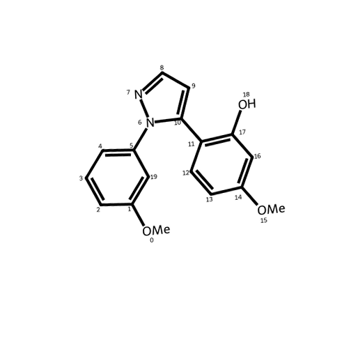 COc1cccc(-n2nccc2-c2ccc(OC)cc2O)c1